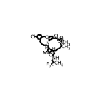 CO[C@@]1(CC(=O)NC[C@@H](C)C(F)(F)F)/C=C/C[C@H](C)[C@@H](C)S(=O)(=O)NC(=O)c2ccc3c(c2)N(CCCCc2cc(Cl)ccc2CO3)C[C@@H]2CC[C@H]21